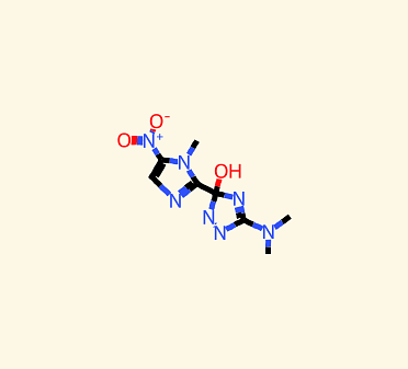 CN(C)C1=NC(O)(c2ncc([N+](=O)[O-])n2C)N=N1